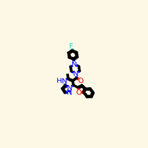 CC1=C(C(=O)N2CCN(c3ccc(F)cc3)CC2)C(c2cc3ccccc3o2)n2nccc2N1